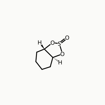 O=S1O[C@H]2CCCC[C@@H]2O1